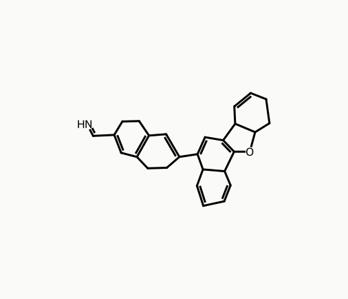 N=CC1=CC2=C(C=C(C3=CC4=C(OC5CCC=CC45)C4C=CC=CC34)CC2)CC1